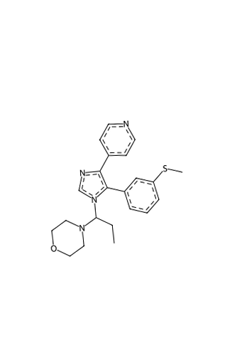 CCC(N1CCOCC1)n1cnc(-c2ccncc2)c1-c1cccc(SC)c1